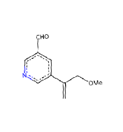 C=C(COC)c1cncc(C=O)c1